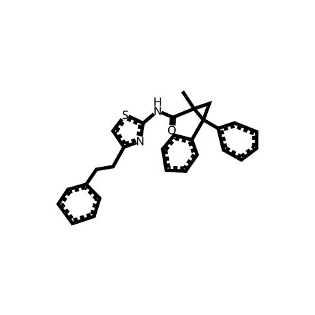 CC1(C(=O)Nc2nc(CCc3ccccc3)cs2)CC1(c1ccccc1)c1ccccc1